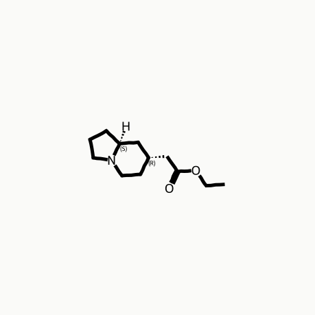 CCOC(=O)C[C@@H]1CCN2CCC[C@H]2C1